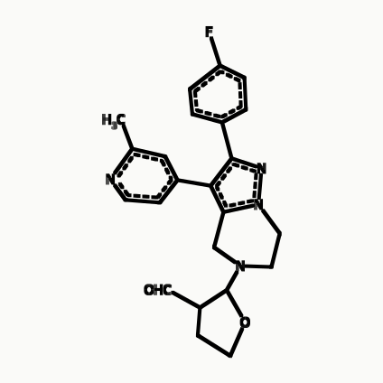 Cc1cc(-c2c(-c3ccc(F)cc3)nn3c2CN(C2OCCC2C=O)CC3)ccn1